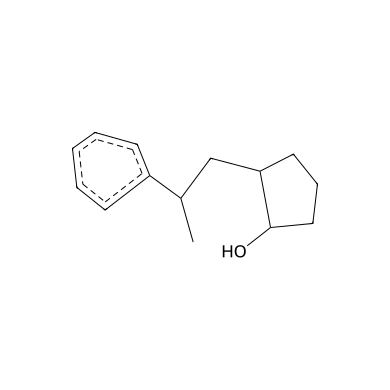 CC(CC1CCCC1O)c1ccccc1